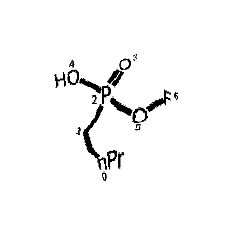 CCCCP(=O)(O)OF